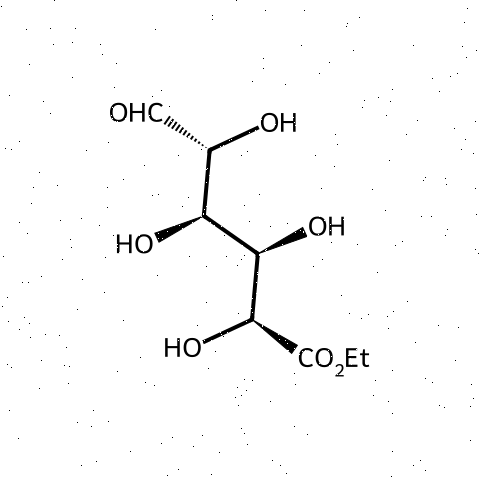 CCOC(=O)[C@@H](O)[C@H](O)[C@@H](O)[C@@H](O)C=O